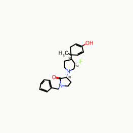 CC1([C@@H]2CCN([C@@H]3CCN(Cc4ccccc4)C3=O)C[C@H]2F)C=CC(O)=CC1